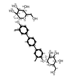 Cc1cc(-c2ccc(-c3ccc(O[C@H]4OC(CO)[C@@H](O)C(O)[C@]4(C)O)c(C)c3)cc2)ccc1O[C@H]1OC(CO)[C@@H](O)C(O)[C@]1(C)O